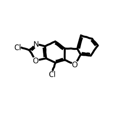 Clc1nc2cc3c(oc4ccccc43)c(Cl)c2o1